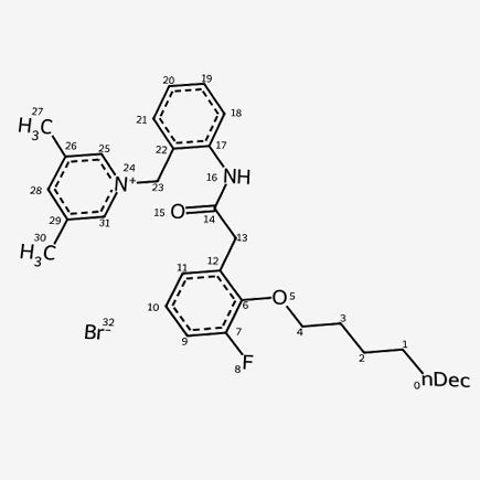 CCCCCCCCCCCCCCOc1c(F)cccc1CC(=O)Nc1ccccc1C[n+]1cc(C)cc(C)c1.[Br-]